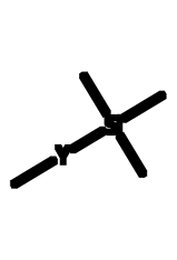 [CH3][Y][Si](C)(C)C